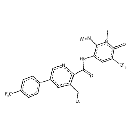 CCSc1cc(-c2ccc(C(F)(F)F)cc2)cnc1C(=O)Nc1cc(C(F)(F)F)c(=O)n(C)c1NC